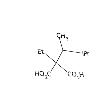 CCC(C(=O)O)(C(=O)O)C(C)C(C)C